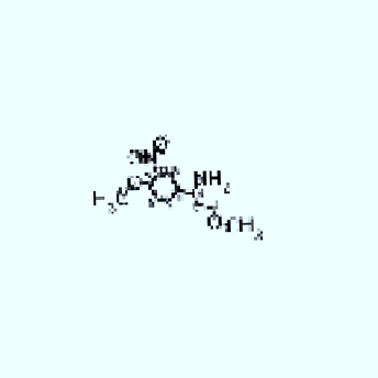 COCCC(N)c1ccc(OC)c([N+](=O)[O-])c1